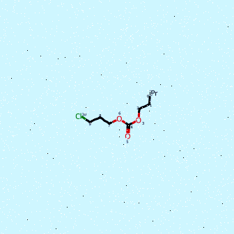 CC(C)CCOC(=O)OCCCCl